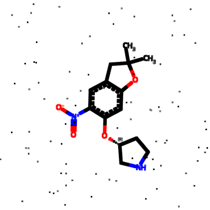 CC1(C)Cc2cc([N+](=O)[O-])c(O[C@@H]3CCNC3)cc2O1